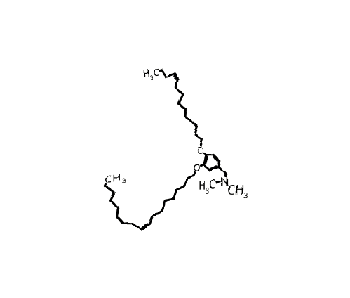 CCC/C=C\CCCCCCCCOc1ccc(CN(C)C)cc1OCCCCCCCC/C=C\C/C=C\CCCCC